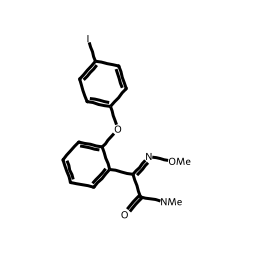 CNC(=O)C(=NOC)c1ccccc1Oc1ccc(I)cc1